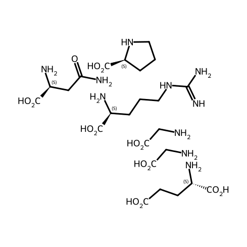 N=C(N)NCCC[C@H](N)C(=O)O.NC(=O)C[C@H](N)C(=O)O.NCC(=O)O.NCC(=O)O.N[C@@H](CCC(=O)O)C(=O)O.O=C(O)[C@@H]1CCCN1